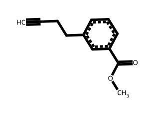 C#CCCc1cccc(C(=O)OC)c1